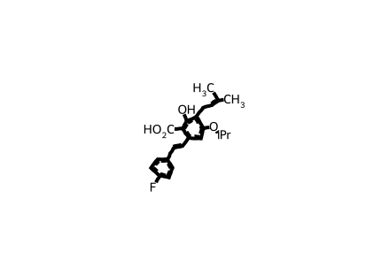 CC(C)=CCc1c(OC(C)C)cc(C=Cc2ccc(F)cc2)c(C(=O)O)c1O